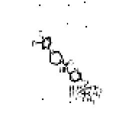 CC(C)(C)[Si](C)(C)Oc1ccc(NC(=O)N2CCCN(c3ccc(F)c(F)c3)CC2)nc1